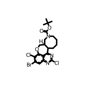 CC(C)(C)OC(=O)N1CCCCC2c3nc(Cl)nc4cc(Br)c(Cl)c(c34)OC[C@H]2C1